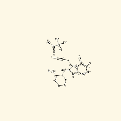 CC#CCn1c(N[C@@H]2CCCC[C@@H]2N)nc2cnn(C)c(=O)c21.O=C(O)C(F)(F)F